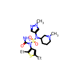 CCc1cc(N(C(N)=O)S(=O)(=O)N(c2cnn(C)c2)C2CCCN(C)C2)c(CC)s1